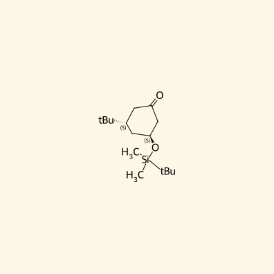 CC(C)(C)[C@@H]1CC(=O)C[C@@H](O[Si](C)(C)C(C)(C)C)C1